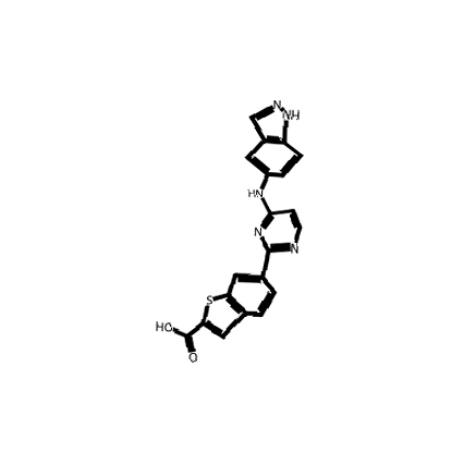 O=C(O)c1cc2ccc(-c3nccc(Nc4ccc5[nH]ncc5c4)n3)cc2s1